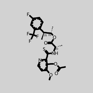 COc1ccnc(C(=S)N[C@@H](C)C(=O)O[C@@H](C)[C@@H](C)c2ccc(F)cc2C(F)(F)F)c1OC(C)=O